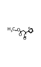 CCOC(=O)CC(=C=O)c1cccs1